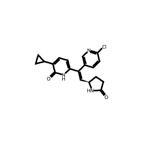 O=C1CC[C@H](/C=C(\c2ccc(Cl)nc2)c2ccc(C3CC3)c(=O)[nH]2)N1